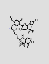 C[C@@H](CCCN(C)/C=N\c1cc(-c2ncc(C(F)(F)F)c(N3CC(O)C3)n2)c(F)cc1C=O)Nc1cn[nH]c(=O)c1C(F)(F)F